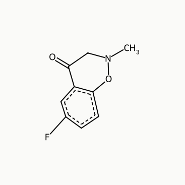 CN1CC(=O)c2cc(F)ccc2O1